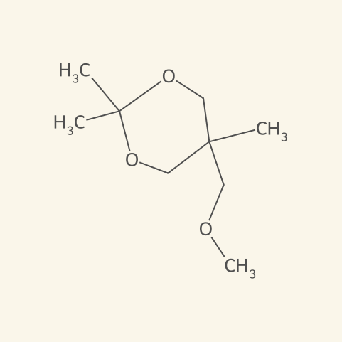 COCC1(C)COC(C)(C)OC1